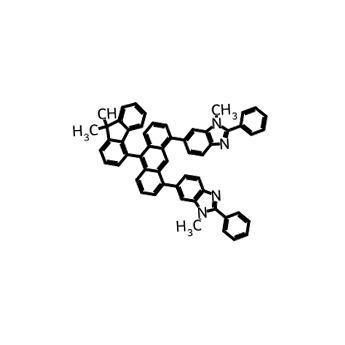 Cn1c(-c2ccccc2)nc2ccc(-c3cccc4c(-c5cccc6c5-c5ccccc5C6(C)C)c5cccc(-c6ccc7nc(-c8ccccc8)n(C)c7c6)c5cc34)cc21